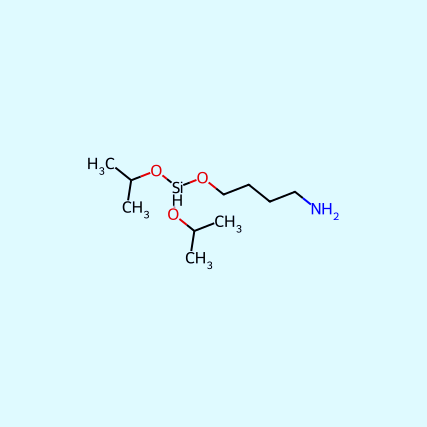 CC(C)O[SiH](OCCCCN)OC(C)C